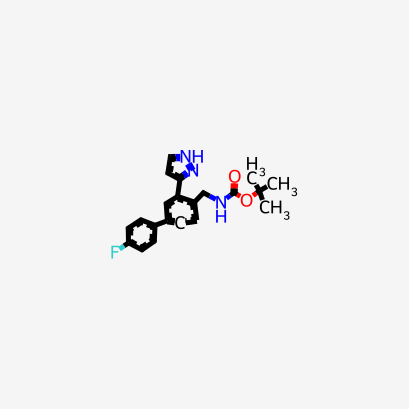 CC(C)(C)OC(=O)NCc1ccc(-c2ccc(F)cc2)cc1-c1cc[nH]n1